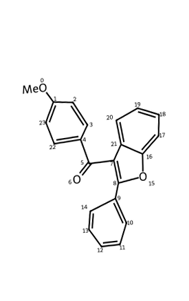 COc1ccc(C(=O)c2c(-c3ccccc3)oc3ccccc23)cc1